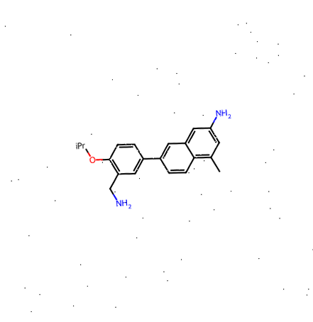 Cc1cc(N)cc2cc(-c3ccc(OC(C)C)c(CN)c3)ccc12